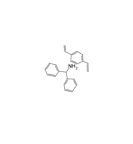 C=Cc1ccc(C=C)cc1.NC(c1ccccc1)c1ccccc1